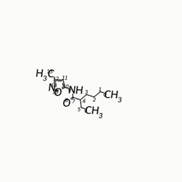 CCCCC(CC)C(=O)Nc1cc(C)no1